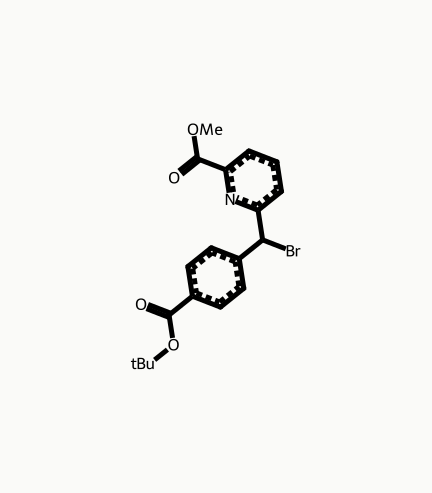 COC(=O)c1cccc(C(Br)c2ccc(C(=O)OC(C)(C)C)cc2)n1